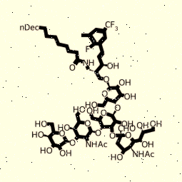 CCCCCCCCCCCCCCCCCC(=O)NC[C@@H](CO[C@@H]1OC(CO)[C@@H](O[C@@H]2OC(CO)[C@H](O[C@@H]3OC(CO)[C@H](O)C(O[C@@H]4OC(CO)[C@H](O)C(O)C4O)C3NC(C)=O)C(O[C@]3(C=O)CC(O)[C@@H](NC(C)=O)C([C@H](O)[C@H](O)CO)O3)C2O)C(O)C1O)[C@H](O)/C=C/c1cc(C(F)(F)F)cc(C)c1F